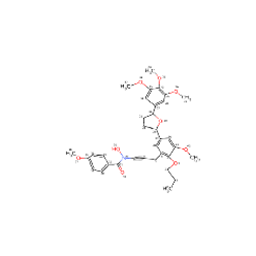 CCCOc1c(CC#CN(O)C(=O)c2ccc(OC)cc2)cc(C2CCC(c3cc(OC)c(OC)c(OC)c3)O2)cc1OC